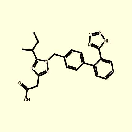 CCC(C)c1nc(CC(=O)O)nn1Cc1ccc(-c2ccccc2-c2nnn[nH]2)cc1